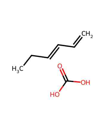 C=CC=CCC.O=C(O)O